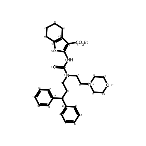 CCOC(=O)c1c(NC(=O)N(CCC(c2ccccc2)c2ccccc2)CCN2CCOCC2)sc2c1CCCC2